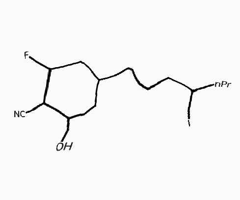 CCCC(I)CCCC1CC(O)C(C#N)C(F)C1